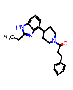 CCc1nc2c(C3CCN(C(=O)CCc4ccccc4)CC3)cccc2[nH]1